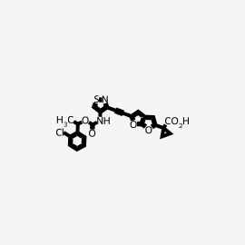 CC(OC(=O)Nc1csnc1C#Cc1cc2cc(C3(C(=O)O)CC3)oc2o1)c1ccccc1Cl